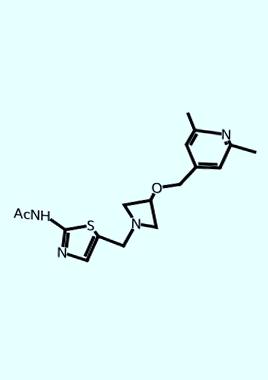 CC(=O)Nc1ncc(CN2CC(OCc3cc(C)nc(C)c3)C2)s1